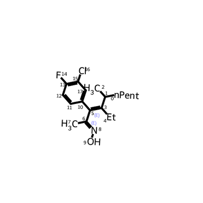 CCCCCC(C)/C(CC)=C(/C(C)=N/O)c1ccc(F)c(Cl)c1